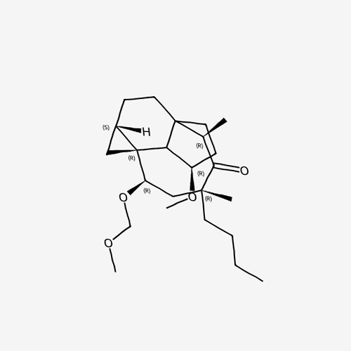 CCCC[C@]1(C)C[C@@H](OCOC)[C@]23C[C@@H]2CCC2(CC[C@@H](OC)C23)[C@@H](C)C1=O